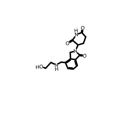 O=C1CCC(N2Cc3c(CNCCO)cccc3C2=O)C(=O)N1